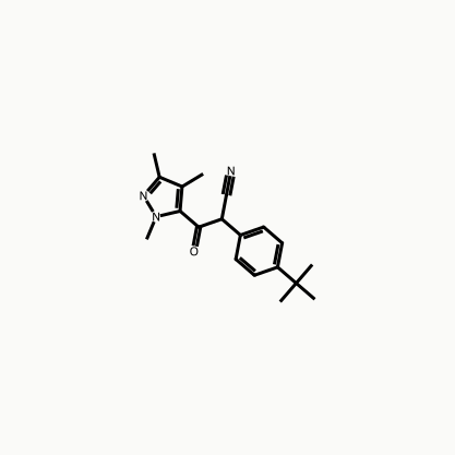 Cc1nn(C)c(C(=O)C(C#N)c2ccc(C(C)(C)C)cc2)c1C